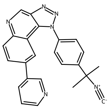 [C-]#[N+]C(C)(C)c1ccc(-n2nnc3cnc4ccc(-c5cccnc5)cc4c32)cc1